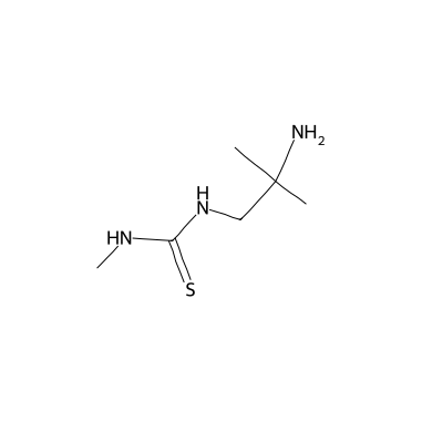 CNC(=S)NCC(C)(C)N